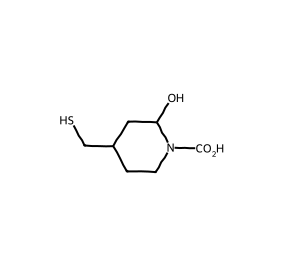 O=C(O)N1CCC(CS)CC1O